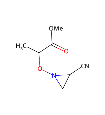 COC(=O)C(C)ON1CC1C#N